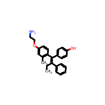 CCC(=C(c1ccc(O)cc1)c1ccc(OCCN)cc1C)c1ccccc1